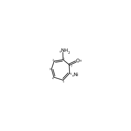 Nc1cccccc1=O.[Ni]